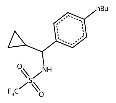 CCCCc1ccc(C(NS(=O)(=O)C(F)(F)F)C2CC2)cc1